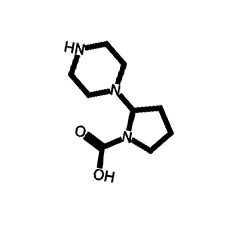 O=C(O)N1CCCC1N1CCNCC1